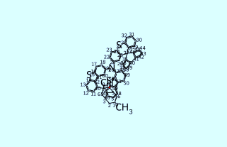 CC1CC2CC(C1)CC(C)(c1cccc3sc4ccc(N(c5ccc6c(c5)C5(c7ccccc7S6)c6ccccc6-c6ccccc65)c5cccc6c5sc5ccccc56)cc4c13)C2